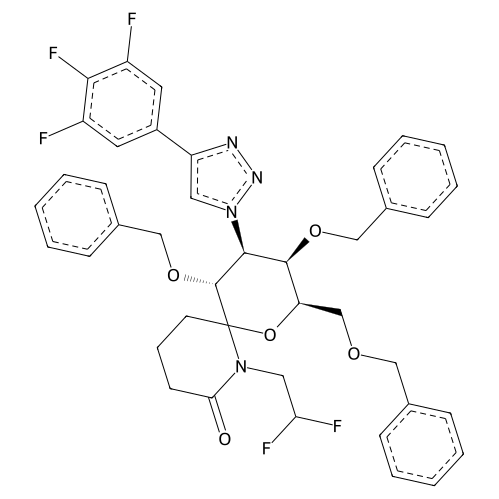 O=C1CCCC2(O[C@H](COCc3ccccc3)[C@H](OCc3ccccc3)[C@H](n3cc(-c4cc(F)c(F)c(F)c4)nn3)[C@H]2OCc2ccccc2)N1CC(F)F